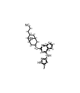 Cc1cc(Nc2nc(OC3CC4CC(CCC#N)CC(C3)N4)nc3sccc23)n[nH]1